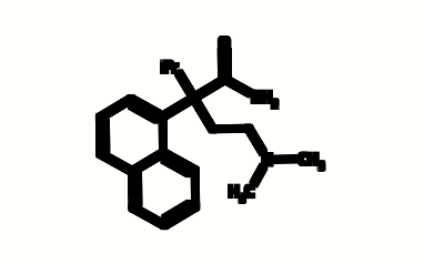 CC(C)C(CCN(C)C)(C(N)=O)c1cccc2ccccc12